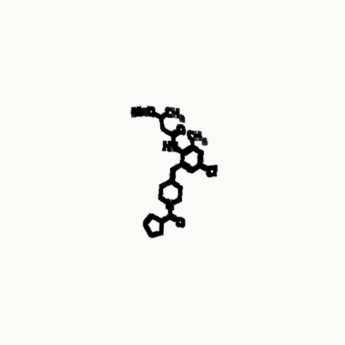 COC(C)CC(=O)Nc1c(C)cc(Cl)cc1C=C1CCN(C(=O)C2CCCC2)CC1